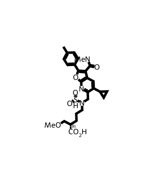 CNC(=O)c1c(-c2ccc(C)cc2)oc2nc(CN(CCC[C@H](COC)C(=O)O)[SH](=O)=O)c(C3CC3)cc12